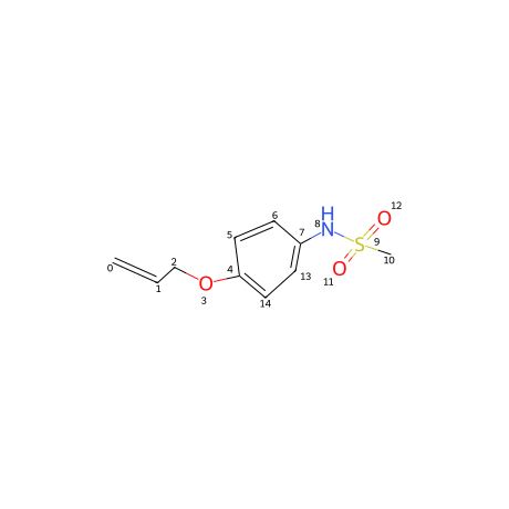 C=CCOc1ccc(NS(C)(=O)=O)cc1